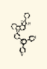 CN1C=CC(c2cc(-c3ccncc3)cc(C3C=C(N4C5C=CC6=C(OC(C7C=CC=CC7)N6)C5C5C=CCCC54)C=CC3)n2)=CC1